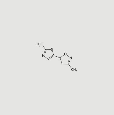 CC1=NOC(c2cnc(C)s2)C1